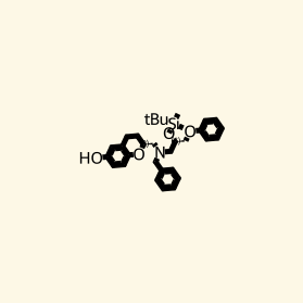 CC(C)(C)[Si](C)(C)O[C@H](COc1ccccc1)CN(Cc1ccccc1)C[C@H]1CCc2cc(O)ccc2O1